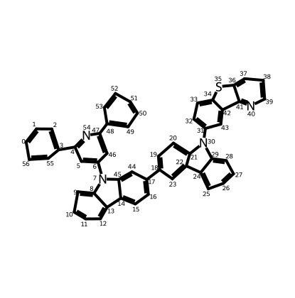 c1ccc(-c2cc(-n3c4ccccc4c4ccc(-c5ccc6c(c5)c5ccccc5n6-c5ccc6sc7cccnc7c6c5)cc43)cc(-c3ccccc3)n2)cc1